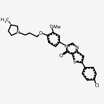 COc1cc(-n2cnc3cc(-c4ccc(Cl)cc4)sc3c2=O)ccc1OCCCN1CC[C@@H](C)C1